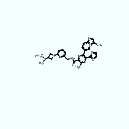 Cc1cnc2ccc(-c3nc(C(=O)NCc4cccc(N5CC(N(C)C(=O)O)C5)n4)c(N)nc3-c3ncco3)cn12